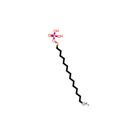 CCCCCCCCCCCCCCCCSOP(=O)(O)O